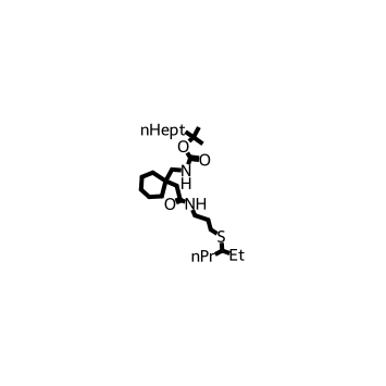 CCCCCCCC(C)(C)OC(=O)NCC1(CC(=O)NCCCSC(CC)CCC)CCCCC1